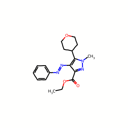 CCOC(=O)c1nn(C)c(C2CCOCC2)c1N=Nc1ccccc1